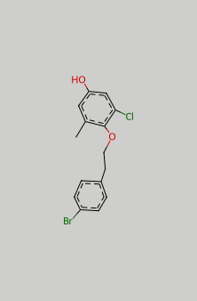 Cc1cc(O)cc(Cl)c1OCCc1ccc(Br)cc1